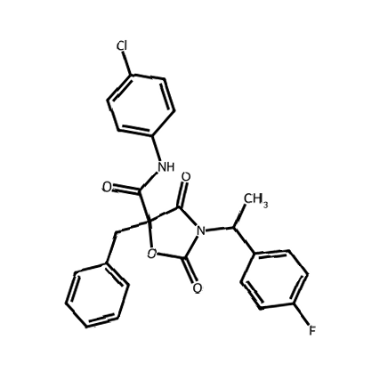 CC(c1ccc(F)cc1)N1C(=O)OC(Cc2ccccc2)(C(=O)Nc2ccc(Cl)cc2)C1=O